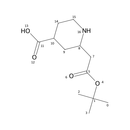 CC(C)(C)OC(=O)CC1CC(C(=O)O)CCN1